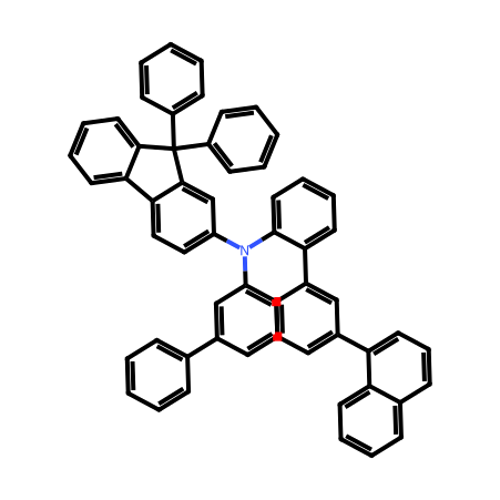 c1ccc(-c2cccc(N(c3ccc4c(c3)C(c3ccccc3)(c3ccccc3)c3ccccc3-4)c3ccccc3-c3cccc(-c4cccc5ccccc45)c3)c2)cc1